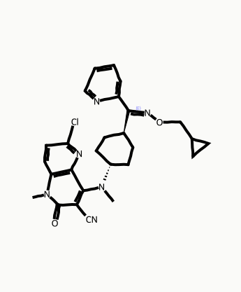 Cn1c(=O)c(C#N)c(N(C)[C@H]2CC[C@H](/C(=N\OCC3CC3)c3ccccn3)CC2)c2nc(Cl)ccc21